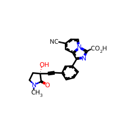 CN1CC[C@@](O)(C#Cc2cccc(-c3nc(C(=O)O)n4ccc(C#N)cc34)c2)C1=O